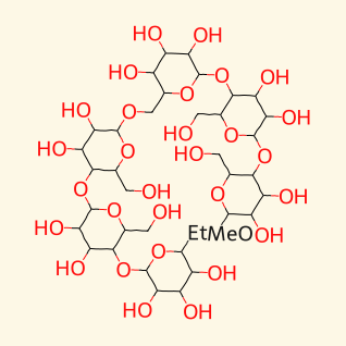 CCC1OC(OC2C(CO)OC(OC3C(CO)OC(OCC4OC(OC5C(CO)OC(OC6C(CO)OC(OC)C(O)C6O)C(O)C5O)C(O)C(O)C4O)C(O)C3O)C(O)C2O)C(O)C(O)C1O